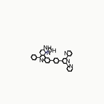 N=C1C=Cc2c(-c3ccccc3)nc3ccc(-c4ccc(-c5cc(-c6ccccn6)nc(-c6ccccn6)c5)cc4)cc3c2/C1=N/O